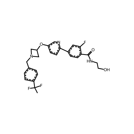 CC(F)(F)c1ccc(CN2CC(Oc3ccc(-c4ccc(C(=O)NCCO)c(F)c4)nc3)C2)cc1